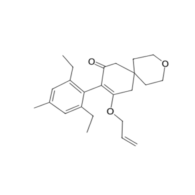 C=CCOC1=C(c2c(CC)cc(C)cc2CC)C(=O)CC2(CCOCC2)C1